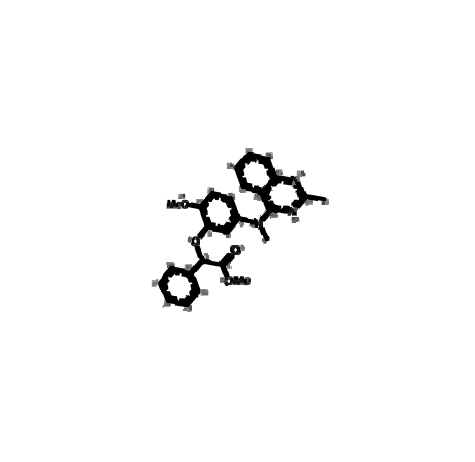 COC(=O)C(Oc1cc(N(C)c2nc(C)nc3ccccc23)ccc1OC)c1ccccc1